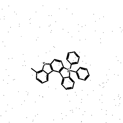 Cc1cccc2c1sc1ccc3c(c12)-c1ccccc1[Si]3(c1ccccc1)c1ccccc1